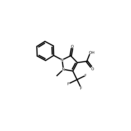 Cn1c(C(F)(F)F)c(C(=O)O)c(=O)n1-c1ccccc1